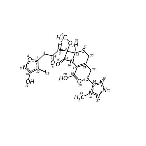 CO[C@@]1(NC(=O)Cc2onc(O)c2I)C(=O)N2C(C(=O)O)=C(CSc3nnnn3C)CS[C@@H]21